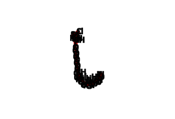 CC(=N)N1C(=N)[C@H](CC(=O)Nc2ccc(/C=C/COCCOCCOCCOCCOCCOCCOCCOCCNC(=O)CCNC(=O)c3nc(NC(=O)CCNC(=O)c4cc(NC(=O)c5nc(NC(=O)CCNC(=O)c6cc(NC(=O)c7nccn7C)cn6C)cn5C)cn4C)cn3C)cc2)N=C(c2ccc(Cl)cc2)c2c1sc(C)c2C